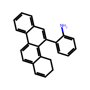 Nc1ccccc1-c1cc2ccccc2c2ccc3c(c12)CCC=C3